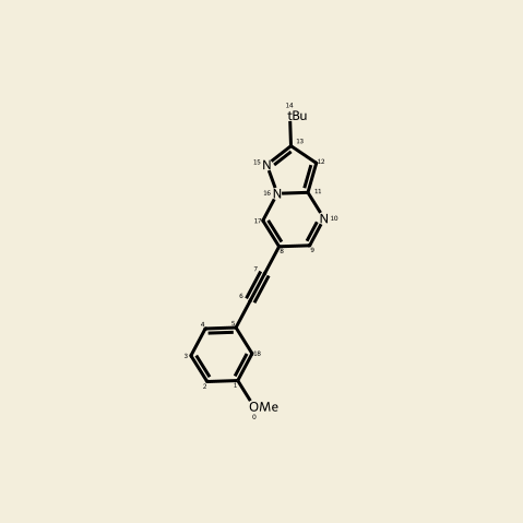 COc1cccc(C#Cc2cnc3cc(C(C)(C)C)nn3c2)c1